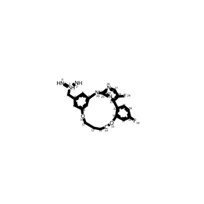 N=[SH](=N)Cc1cc2cc(c1)OCCCCOc1cc(F)ccc1-c1nc(ncc1F)N2